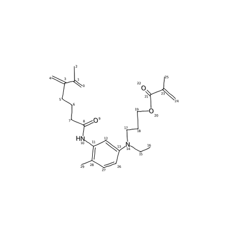 C=C(C)C(=C)CCCC(=O)Nc1cc(N(CC)CCCOC(=O)C(=C)C)ccc1C